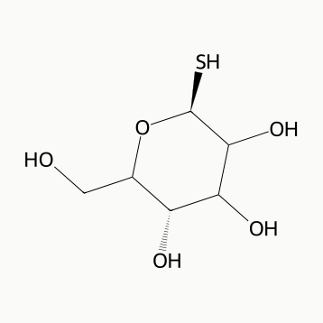 OCC1O[C@@H](S)C(O)C(O)[C@@H]1O